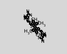 Cc1ccc(C2(c3ccc(C)cc3)c3cc(-c4ccc(-c5ccc(C=C(C#N)C#N)c6nsnc56)s4)ccc3-c3cc4c(cc32)-c2sc3cc(-c5ccc(-c6ccc(C=C(C#N)C#N)c7nsnc67)s5)sc3c2C4(c2ccc(C)cc2)c2ccc(C)cc2)cc1